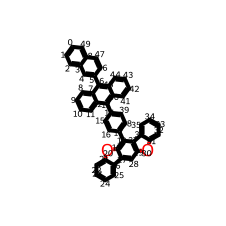 c1ccc2cc(-c3c4ccccc4c(-c4ccc(-c5c6oc7ccccc7c6cc6oc7ccccc7c56)cc4)c4ccccc34)ccc2c1